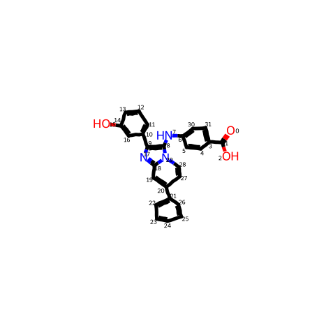 O=C(O)c1ccc(Nc2c(-c3cccc(O)c3)nc3cc(-c4ccccc4)ccn23)cc1